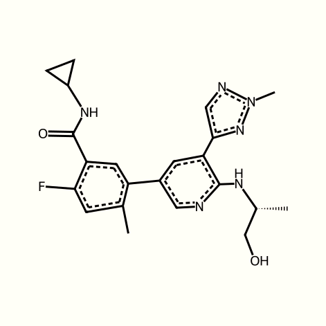 Cc1cc(F)c(C(=O)NC2CC2)cc1-c1cnc(N[C@H](C)CO)c(-c2cnn(C)n2)c1